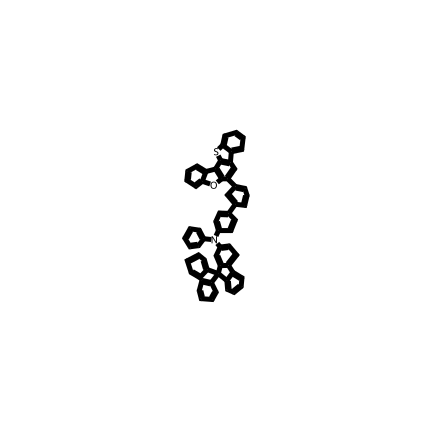 c1ccc(N(c2ccc(-c3cccc(-c4cc5c6ccccc6sc5c5c4oc4ccccc45)c3)cc2)c2ccc3c(c2)C(c2ccccc2)(c2ccccc2)c2ccccc2-3)cc1